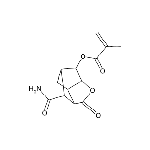 C=C(C)C(=O)OC1C2CC3C1OC(=O)C3C2C(N)=O